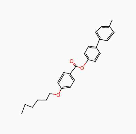 CCCCCCOc1ccc(C(=O)Oc2ccc(-c3ccc(C)cc3)cc2)cc1